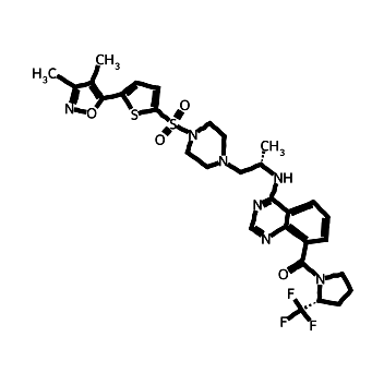 Cc1noc(-c2ccc(S(=O)(=O)N3CCN(C[C@H](C)Nc4ncnc5c(C(=O)N6CCC[C@@H]6C(F)(F)F)cccc45)CC3)s2)c1C